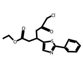 CCOC(=O)CC(CC(=O)CCl)c1cnc(-c2ccccc2)s1